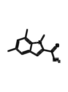 Cc1cc(C)c2c(c1)cc(C(N)=O)n2C